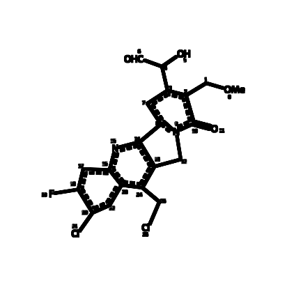 COCc1c(C(O)C=O)cc2n(c1=O)Cc1c-2nc2cc(F)c(Cl)cc2c1CCl